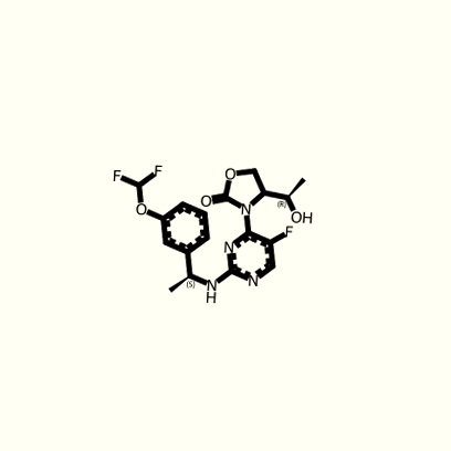 C[C@H](Nc1ncc(F)c(N2C(=O)OCC2[C@@H](C)O)n1)c1cccc(OC(F)F)c1